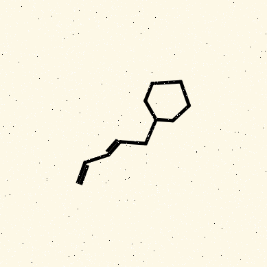 C=CC=CCC1CCCCC1